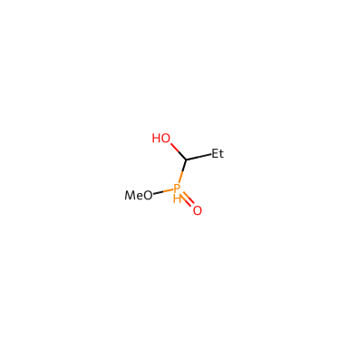 CCC(O)[PH](=O)OC